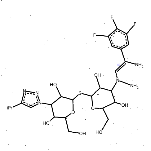 CC(C)c1cn(C2C(O)C(CO)OC(SC3OC(CO)C(O)C(N(N)/C=C(\N)c4cc(F)c(F)c(F)c4)C3O)C2O)nn1